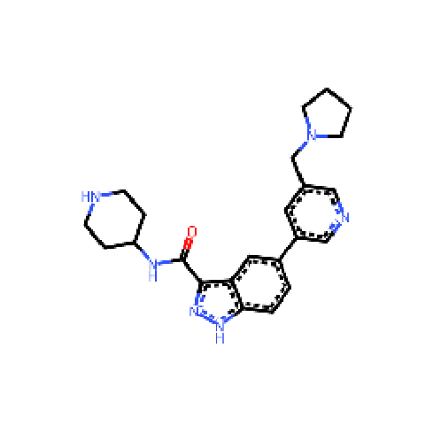 O=C(NC1CCNCC1)c1n[nH]c2ccc(-c3cncc(CN4CCCC4)c3)cc12